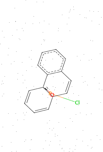 ClP1OC=CC23C=CC=CC12C=Cc1ccccc13